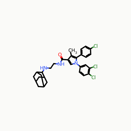 Cc1c(C(=O)NCCNC2C3CC4CC(C3)CC2C4)cn(-c2ccc(Cl)c(Cl)c2)c1-c1ccc(Cl)cc1